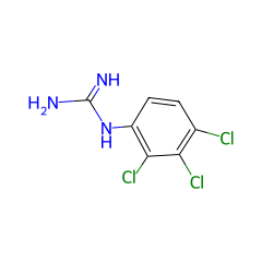 N=C(N)Nc1ccc(Cl)c(Cl)c1Cl